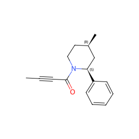 CC#CC(=O)N1CC[C@@H](C)C[C@H]1c1ccccc1